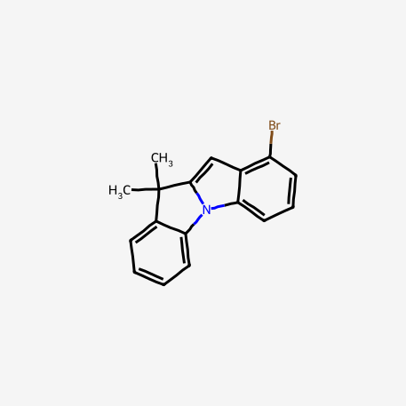 CC1(C)c2ccccc2-n2c1cc1c(Br)cccc12